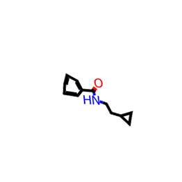 O=C(NCCC1CC1)c1ccccc1